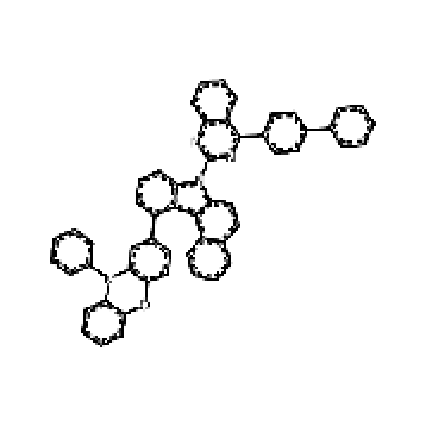 c1ccc(-c2ccc(-c3nc(-n4c5cccc(-c6ccc7c(c6)N(c6ccccc6)c6ccccc6O7)c5c5c6ccccc6ccc54)nc4ccccc34)cc2)cc1